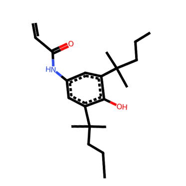 C=CC(=O)Nc1cc(C(C)(C)CCC)c(O)c(C(C)(C)CCC)c1